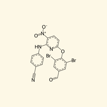 N#Cc1ccc(Nc2nc(Oc3c(Br)cc(C=O)cc3Br)ccc2[N+](=O)[O-])cc1